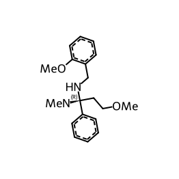 CN[C@](CCOC)(NCc1ccccc1OC)c1ccccc1